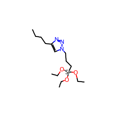 CCCCc1cn(CCC[Si](OCC)(OCC)OCC)nn1